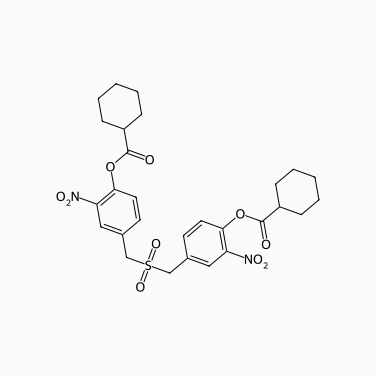 O=C(Oc1ccc(CS(=O)(=O)Cc2ccc(OC(=O)C3CCCCC3)c([N+](=O)[O-])c2)cc1[N+](=O)[O-])C1CCCCC1